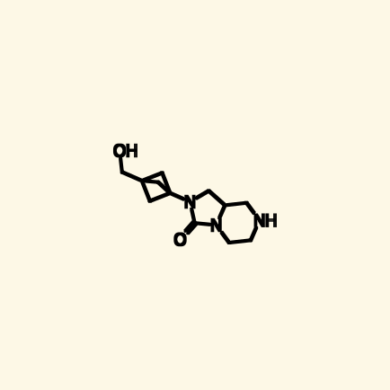 O=C1N2CCNCC2CN1C12CC(CO)(C1)C2